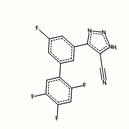 N#Cc1[nH]nnc1-c1cc(F)cc(-c2cc(F)c(F)cc2F)c1